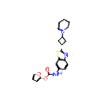 O=C(Nc1ccc2nc([C@H]3C[C@H](N4CCCCC4)C3)sc2c1)Oc1ccco1